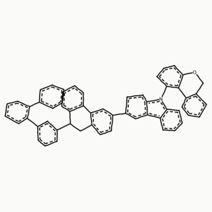 c1ccc(-c2ccccc2-c2cccc(C3Cc4ccc(-c5ccc6c(c5)c5ccccc5n6-c5cccc6c5-c5ccccc5CO6)cc4-c4ccccc43)c2)cc1